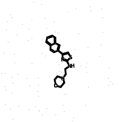 c1ccc2cc(-c3csc(NCCN4CCOCC4)n3)ccc2c1